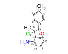 Cc1ccc(C(=O)C(C)(Cl)c2ccccc2N)cc1